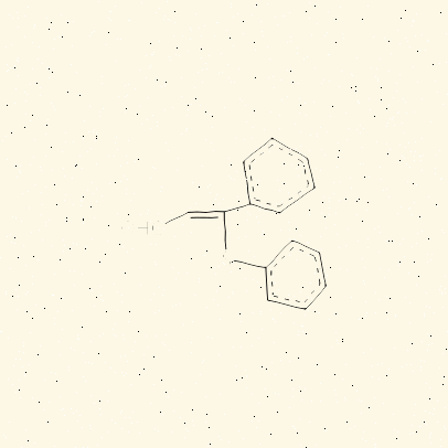 O=C/C=C(\Sc1ccccc1)c1ccccc1